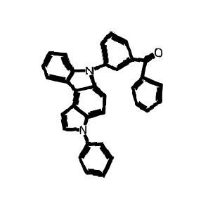 O=C(c1ccccc1)c1cccc(-n2c3ccccc3c3c4ccn(-c5ccccc5)c4ccc32)c1